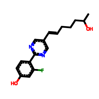 CC(O)CCCC=Cc1cnc(-c2ccc(O)cc2F)nc1